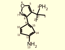 CC(F)(P)c1conc1-c1ccc(N)cc1